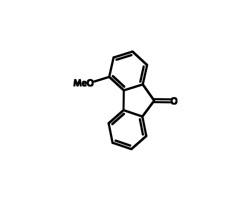 COc1cccc2c1-c1ccccc1C2=O